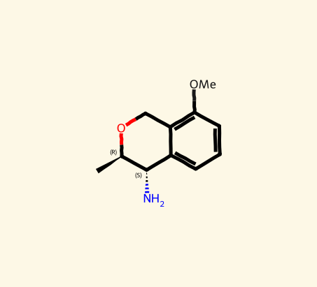 COc1cccc2c1CO[C@H](C)[C@H]2N